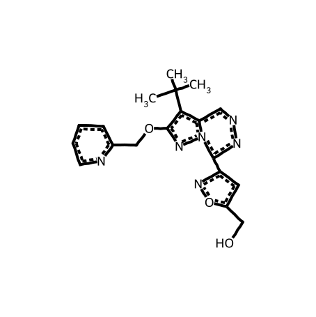 CC(C)(C)c1c(OCc2ccccn2)nn2c(-c3cc(CO)on3)nncc12